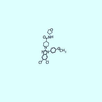 COc1ccc(-n2c(N3CCC(C(=O)N[C@@H]4CCOC4)CC3)nc3cc(Cl)c(Cl)cc32)cc1